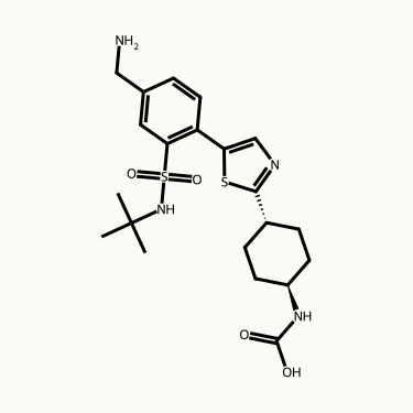 CC(C)(C)NS(=O)(=O)c1cc(CN)ccc1-c1cnc([C@H]2CC[C@H](NC(=O)O)CC2)s1